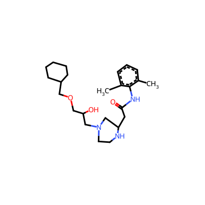 Cc1cccc(C)c1NC(=O)CC1CN(CC(O)COCC2CCCCC2)CCN1